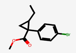 CCC1CC1(C(=O)OC)c1ccc(Br)cc1